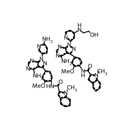 COc1cc(-c2nn(-c3cc(NCCO)ccn3)c3ncnc(N)c23)ccc1NC(=O)c1cc2ccccc2n1C.COc1cc(-c2nn(-c3ccc(N)nc3)c3ncnc(N)c23)ccc1NC(=O)c1cc2ccccc2n1C